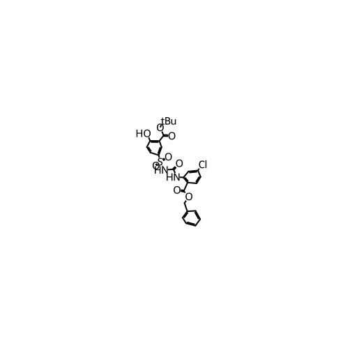 CC(C)(C)OC(=O)c1cc(S(=O)(=O)NC(=O)Nc2cc(Cl)ccc2C(=O)OCc2ccccc2)ccc1O